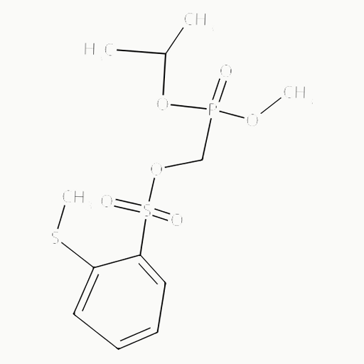 COP(=O)(COS(=O)(=O)c1ccccc1SC)OC(C)C